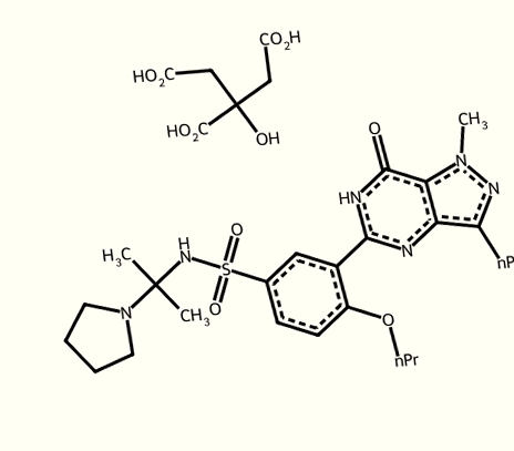 CCCOc1ccc(S(=O)(=O)NC(C)(C)N2CCCC2)cc1-c1nc2c(CCC)nn(C)c2c(=O)[nH]1.O=C(O)CC(O)(CC(=O)O)C(=O)O